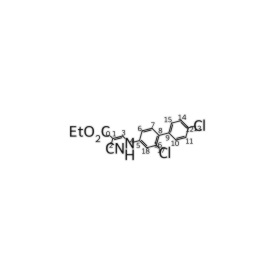 CCOC(=O)/C(C#N)=C/Nc1ccc(-c2ccc(Cl)cc2)c(Cl)c1